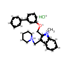 Cl.Cn1c(COc2cccc(-c3ccccc3)c2)c(CN2CCCCC2)c2ccccc21